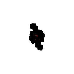 c1ccc2c(c1)Oc1ccccc1C21c2cc(-c3ccc4ccccc4c3)sc2C2(c3ccccc3Oc3ccccc32)c2cc(-c3ccc4ccccc4c3)sc21